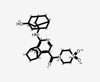 O=C(c1cnc(NC23CC4CC(CC(O)(C4)C2)C3)c2c1C1CCC2C1)N1CCS(=O)(=O)CC1